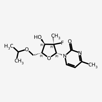 Cc1ccn([C@@H]2O[C@H](COC(C)C)[C@@H](O)[C@@]2(C)F)c(=O)n1